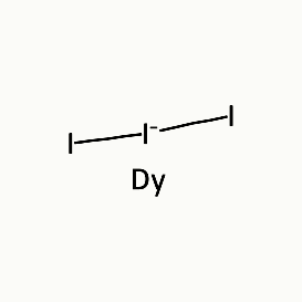 I[I-]I.[Dy]